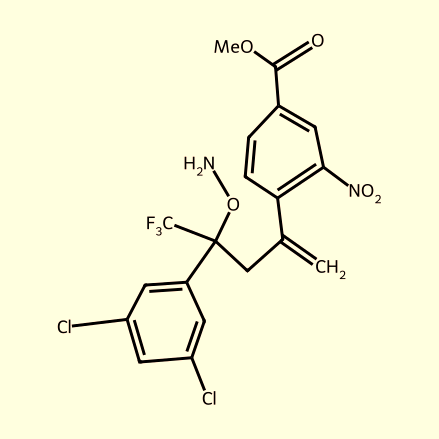 C=C(CC(ON)(c1cc(Cl)cc(Cl)c1)C(F)(F)F)c1ccc(C(=O)OC)cc1[N+](=O)[O-]